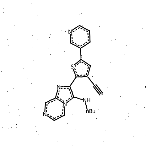 C#Cc1cc(-c2cccnc2)sc1-c1nc2cnccn2c1NCCCC